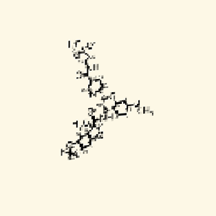 COc1ccc2c(c1)O[C@@H](c1ccc(C(=O)NCCS(C)(=O)=O)cn1)C[C@H]2NC(=O)[C@@]1(C)COc2cc3c(cc21)OC(F)(F)O3